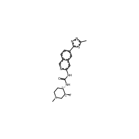 Cc1nnc(-c2ccc3cnc(NC(=O)N[C@H]4CCN(C)C[C@@H]4F)cc3c2)s1